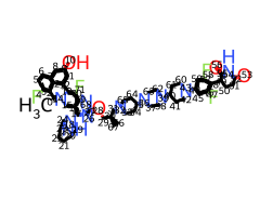 CCc1c(F)ccc2cc(O)cc(-c3ncc4c(N5CC6CCC(C5)N6)nc(OCC5(CN6CCC(N7CCN(C8CCN(c9cc(F)c(C%10CCC(=O)NC%10=O)c(F)c9)CC8)CC7)CC6)CC5)nc4c3F)c12